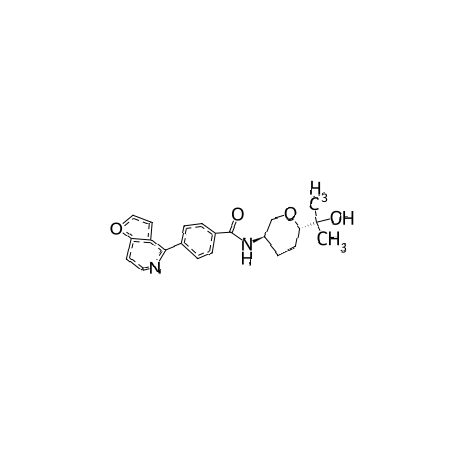 CC(C)(O)[C@@H]1CC[C@@H](NC(=O)c2ccc(-c3nccc4occc34)cc2)CO1